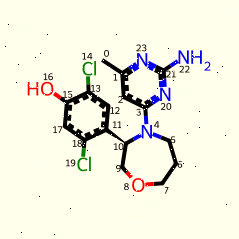 Cc1cc(N2CCCOC[C@H]2c2cc(Cl)c(O)cc2Cl)nc(N)n1